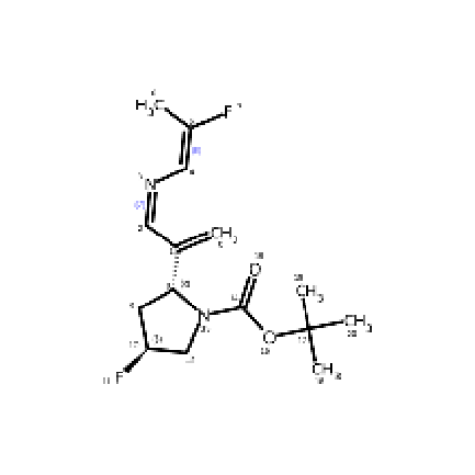 C=C(/C=N\C=C(/C)F)[C@H]1C[C@H](F)CN1C(=O)OC(C)(C)C